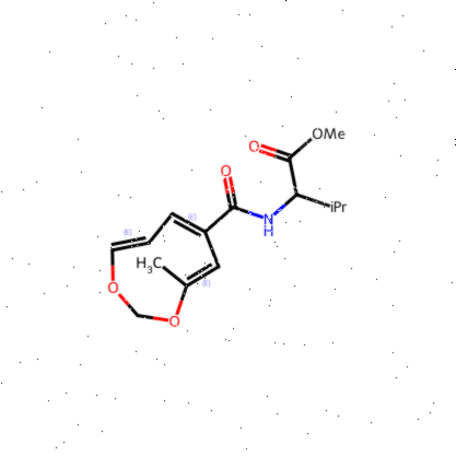 COC(=O)C(NC(=O)C1=C/C=C/OCO\C(C)=C\1)C(C)C